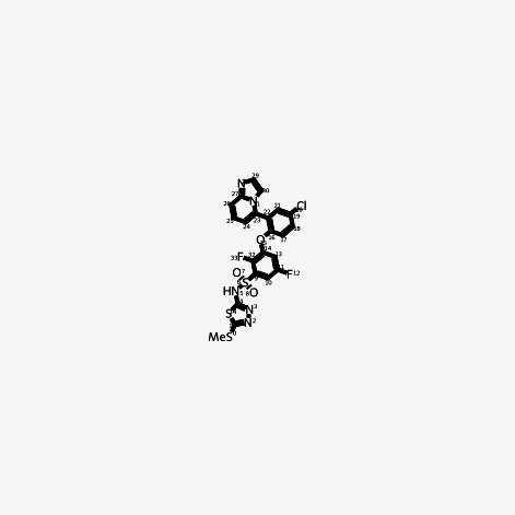 CSc1nnc(NS(=O)(=O)c2cc(F)cc(Oc3ccc(Cl)cc3-c3cccc4nccn34)c2F)s1